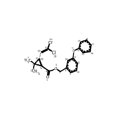 CC1(C)C(C(=O)OCc2cccc(Oc3ccccc3)c2)[C@H]1C=C(Cl)Cl